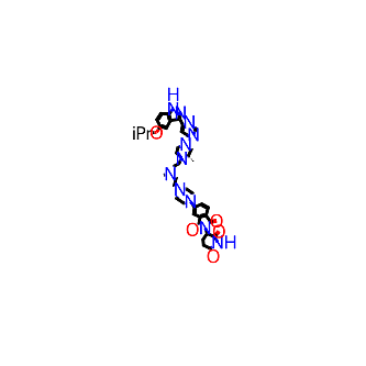 CC(C)Oc1ccc2[nH]nc(-c3cc(N4CCN(CCN(C)CCN5CCN(c6ccc7c(c6)C(=O)N(C6CCC(=O)NC6=O)C7=O)CC5)[C@@H](C)C4)ncn3)c2c1